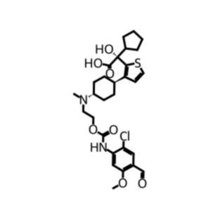 COc1cc(NC(=O)OCCN(C)[C@H]2CC[C@H](c3ccsc3[C@@](O)(C(=O)O)C3CCCC3)CC2)c(Cl)cc1C=O